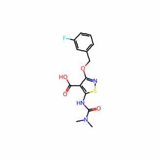 CN(C)C(=O)Nc1snc(OCc2cccc(F)c2)c1C(=O)O